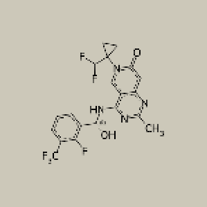 Cc1nc(N[C@H](O)c2cccc(C(F)(F)F)c2F)c2cn(C3(C(F)F)CC3)c(=O)cc2n1